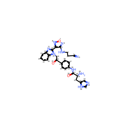 N#CCCNc1nonc1-c1nc2ccccc2n1CC(=O)c1ccc(NC(=O)[C@@H](N)Cc2cnc[nH]2)cc1